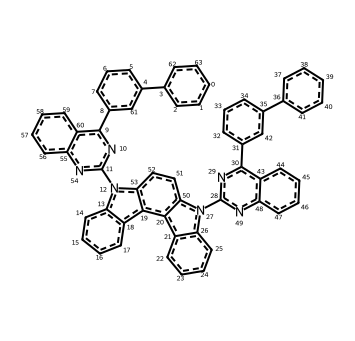 c1ccc(-c2cccc(-c3nc(-n4c5ccccc5c5c6c7ccccc7n(-c7nc(-c8cccc(-c9ccccc9)c8)c8ccccc8n7)c6ccc54)nc4ccccc34)c2)cc1